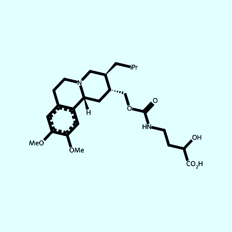 COc1cc2c(cc1OC)[C@H]1C[C@@H](COC(=O)NCCC(O)C(=O)O)[C@H](CC(C)C)CN1CC2